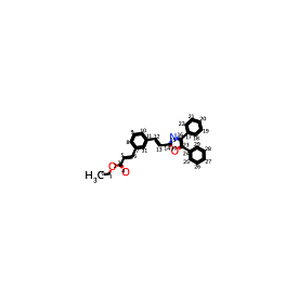 CCOC(=O)/C=C/c1cccc(/C=C/c2nc(-c3ccccc3)c(-c3ccccc3)o2)c1